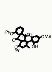 COc1cc(O)c(-c2c(C)cc(OC(C)C)c3c2C(=O)c2cccc(OC(C)C)c2C3=O)c(OC)c1